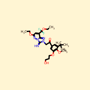 CCOc1cc(C(F)(F)OCC)c2nn(CC(=O)c3cc(OCCCO)c(OC)c(C(C)(C)C)c3)c(=N)n2n1